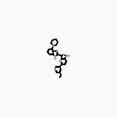 CCc1cncc(-c2ccc3[nH]nc(-c4nc5c(N6CCCCC6)cccc5[nH]4)c3n2)c1